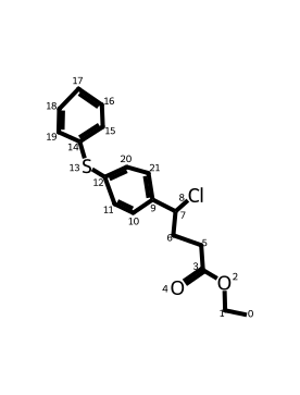 CCOC(=O)CCC(Cl)c1ccc(Sc2ccccc2)cc1